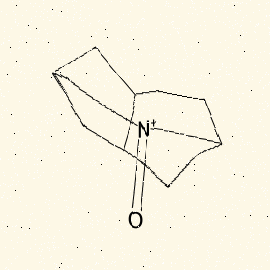 O=[N+]1C2CC3CC1CC3C2